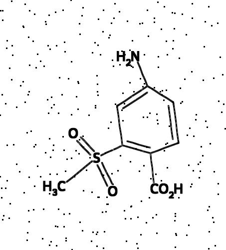 CS(=O)(=O)c1cc(N)ccc1C(=O)O